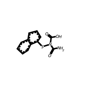 NC(=O)N(Sc1cccc2ccccc12)C(=O)O